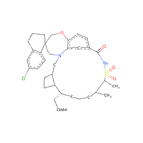 COC[C@H]1CCCC(C)C(C)S(=O)(=O)NC(=O)c2ccc3c(c2)N(CC2CCC21)CC1(CCCc2cc(Cl)ccc21)CO3